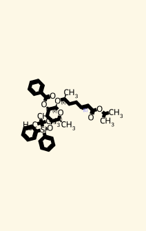 CC(C)OC(=O)/C=C/CC[C@@H](C)O[C@@H]1O[C@H](C)[C@H](O[Si](c2ccccc2)(c2ccccc2)C(C)(C)C)C[C@H]1OC(=O)c1ccccc1